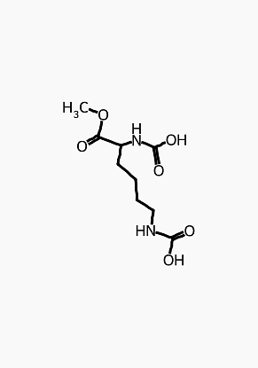 COC(=O)C(CCCCNC(=O)O)NC(=O)O